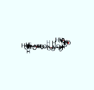 O=C(C=CCNC(=O)CCCC(=O)NCCCOCCOCCOCCCNC(=O)CCCC[C@@H]1SC[C@@H]2NC(=O)N[C@@H]21)CCC(=O)N1CCN(Cc2cc3nc(-c4cccc5[nH]ncc45)nc(N4CCOCC4)c3s2)CC1